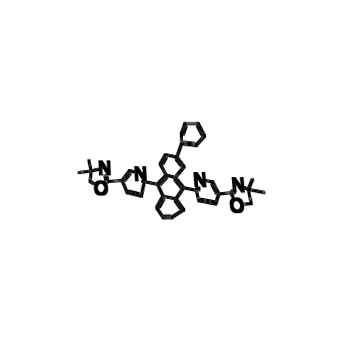 CC1(C)COC(c2ccc(-c3c4ccccc4c(-c4ccc(C5=NC(C)(C)CO5)cn4)c4cc(-c5ccccc5)ccc34)nc2)=N1